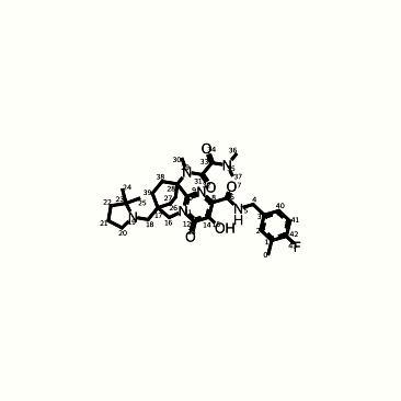 Cc1cc(CNC(=O)c2nc3n(c(=O)c2O)CC2(CN4CCCC4(C)C)CCC3(N(C)C(=O)C(=O)N(C)C)CC2)ccc1F